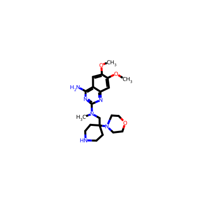 COc1cc2nc(N(C)CC3(N4CCOCC4)CCNCC3)nc(N)c2cc1OC